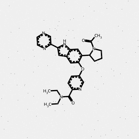 CCN(CC)C(=O)c1ccc(Oc2cc3cc(-c4cnccn4)[nH]c3cc2C2CCCN2C(C)=O)cn1